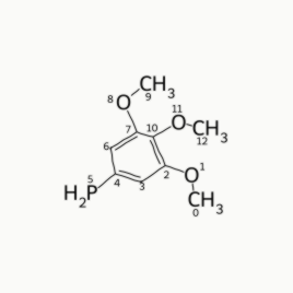 COc1cc(P)cc(OC)c1OC